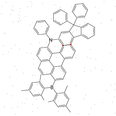 Cc1cc(C)c(B(c2c(C)cc(C)cc2C)c2ccc3c4ccccc4c4c(N(c5ccccc5)c5ccc6c(c5)C(c5ccccc5)(c5ccccc5)c5ccccc5-6)ccc5ccc2c3c54)c(C)c1